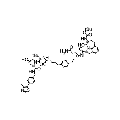 Cc1ncsc1-c1ccc(CNC(=O)[C@@H]2C[C@@H](O)CN2C(=O)[C@@H](NC(=O)CCCCc2ccc(CCC[C@H](CCC(N)=O)NC(=O)[C@@H]3Cc4cccc5c4N3C(O)[C@@H](NC(=O)OC(C)(C)C)CC5)cc2)C(C)(C)C)cc1